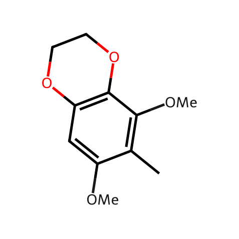 COc1cc2c(c(OC)c1C)OCCO2